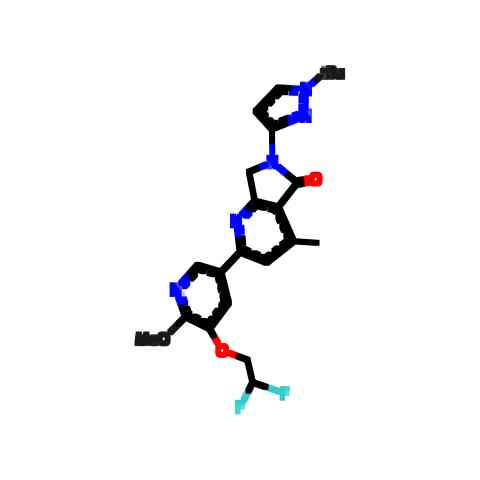 COc1ncc(-c2cc(C)c3c(n2)CN(c2ccn(C(C)(C)C)n2)C3=O)cc1OCC(F)F